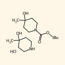 CC1(O)CCN(C(=O)OC(C)(C)C)CC1.CC1(O)CCNCC1.Cl